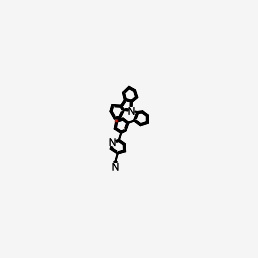 N#Cc1ccc(-c2cccc(-c3ccccc3-n3c4ccccc4c4ccccc43)c2)nc1